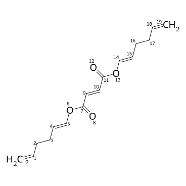 C=CCCC=COC(=O)/C=C/C(=O)OC=CCCC=C